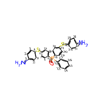 Nc1ccc(Sc2ccc(P(=O)(c3ccccc3)c3ccc(Sc4ccc(N)cc4)cc3)cc2)cc1